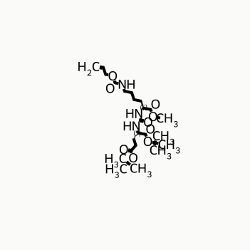 C=CCOC(=O)NCCCC[C@H](NC(=O)N[C@@H](CCC(=O)OC(C)(C)C)C(=O)OC(C)(C)C)C(=O)OC